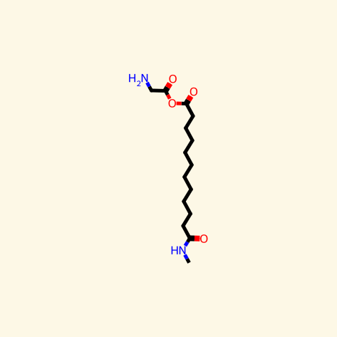 CNC(=O)CCCCCCCCCCC(=O)OC(=O)CN